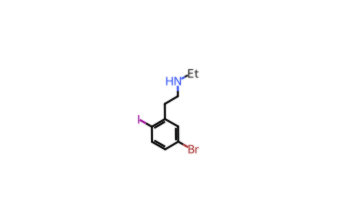 CCNCCc1cc(Br)ccc1I